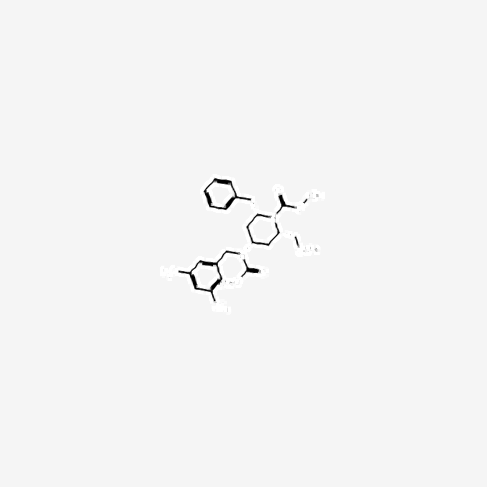 COC[C@@H]1C[C@H](N(Cc2cc(C(F)(F)F)cc(C(F)(F)F)c2)C(=O)OC)C[C@H](Cc2ccccc2)N1C(=O)OC(C)(C)C